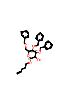 C=CCCCO[C@@H]1OC(COCc2ccccc2)[C@@H](OCc2ccccc2)[C@@H](OCc2ccccc2)C1O